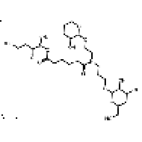 CN(OC(=O)CCCCC(=O)N(CCCOC1OC(CO)CC(O)C1O)CCOC1OCCCC1O)C(=O)CCC=O